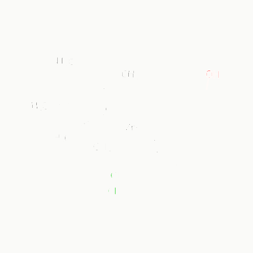 CC1=C(C)C(C)(C)[C]([Zr+2][C]2=C(CCO)C=CC2)=C1C.[Cl-].[Cl-]